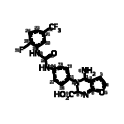 NC1=c2ccoc2=NC(C(=O)O)N1c1ccc(NC(=O)Nc2cc(C(F)(F)F)ccc2F)cc1